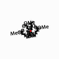 C=C(C)C(=O)OCCC[Si](O[Si](C)(C)CCCC(=O)OC)(O[Si](C)(C)CCCC(=O)OC)O[Si](C)(C)CCCC(=O)OC